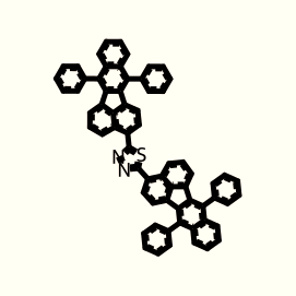 c1ccc(-c2c3c(c(-c4ccccc4)c4ccccc24)-c2ccc(-c4nnc(-c5ccc6c7c(cccc57)-c5c-6c(-c6ccccc6)c6ccccc6c5-c5ccccc5)s4)c4cccc-3c24)cc1